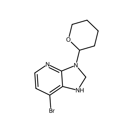 Brc1ccnc2c1NCN2C1CCCCO1